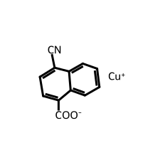 N#Cc1ccc(C(=O)[O-])c2ccccc12.[Cu+]